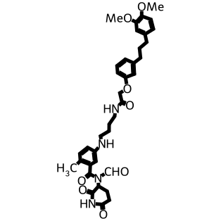 COc1ccc(CCCc2cccc(OCC(=O)NCCCCNc3ccc(C)c(C(=O)N(C=O)C4CCC(=O)NC4=O)c3)c2)cc1OC